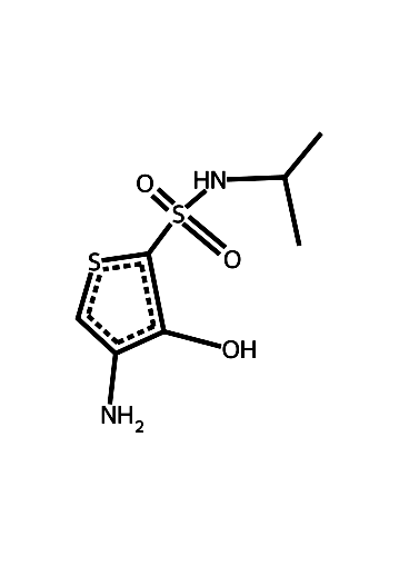 CC(C)NS(=O)(=O)c1scc(N)c1O